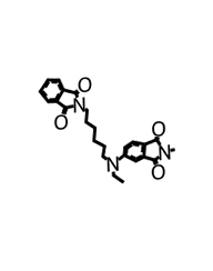 CCN(CCCCCCN1C(=O)c2ccccc2C1=O)c1ccc2c(c1)C(=O)N(C)C2=O